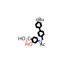 CCCCc1ccc(-c2ccc(CN(C(C)=O)c3ccc(C(=O)O)c(O)c3)cc2)cc1